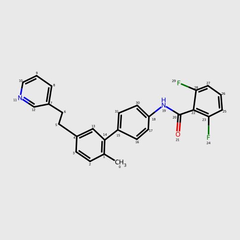 Cc1ccc(CCc2cccnc2)cc1-c1ccc(NC(=O)c2c(F)cccc2F)cc1